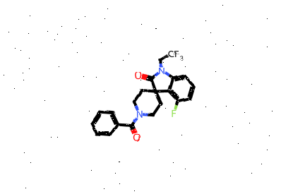 O=C(c1ccccc1)N1CCC2(CC1)C(=O)N(CC(F)(F)F)c1cccc(F)c12